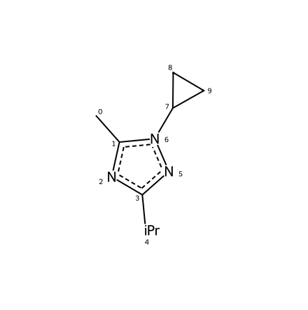 Cc1nc(C(C)C)nn1C1CC1